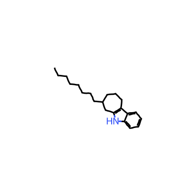 CCCCCCCCC1CCCc2c([nH]c3ccccc23)C1